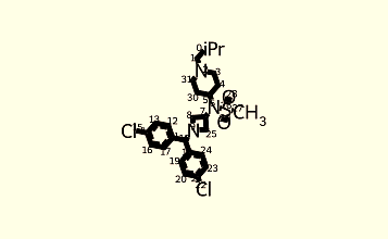 CC(C)CN1CCC(N(C2CN(C(c3ccc(Cl)cc3)c3ccc(Cl)cc3)C2)S(C)(=O)=O)CC1